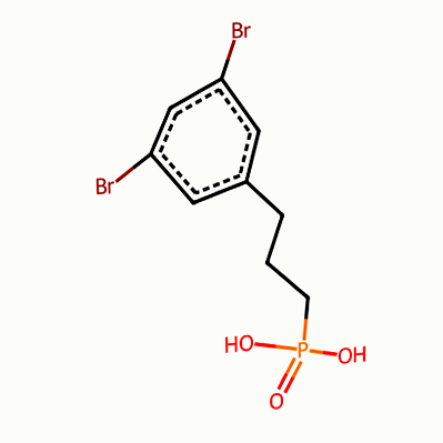 O=P(O)(O)CCCc1cc(Br)cc(Br)c1